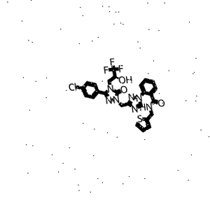 O=C(NCc1cccs1)c1ccccc1-n1cnc(Cn2nc(-c3ccc(Cl)cc3)n(C[C@H](O)C(F)(F)F)c2=O)n1